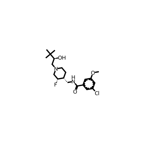 COc1cc(Cl)cc(C(=O)NC[C@H]2CCN(C[C@H](O)C(C)(C)C)C[C@H]2F)c1